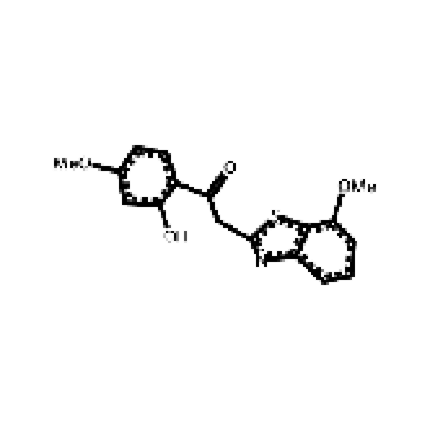 COc1ccc(C(=O)Cc2nc3cccc(OC)c3s2)c(O)c1